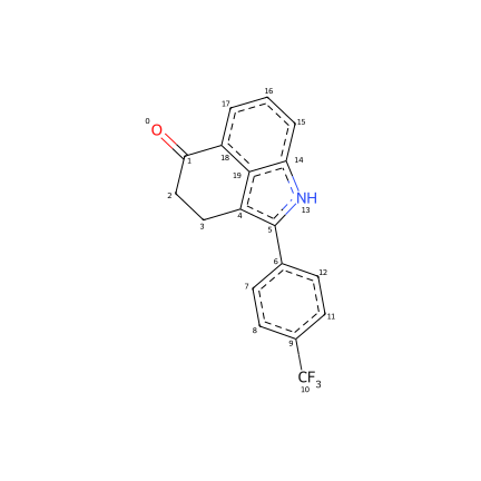 O=C1CCc2c(-c3ccc(C(F)(F)F)cc3)[nH]c3cccc1c23